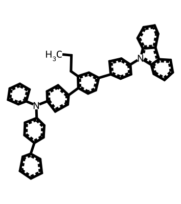 CCCc1cc(-c2ccc(-n3c4ccccc4c4ccccc43)cc2)ccc1-c1ccc(N(c2ccccc2)c2ccc(-c3ccccc3)cc2)cc1